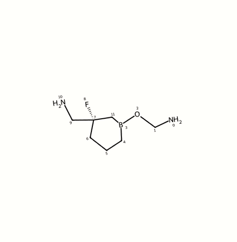 NCOB1CCC[C@@](F)(CN)C1